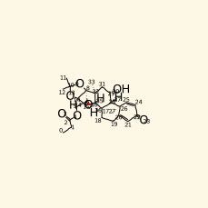 CCC(=O)OCC(=O)[C@@]12OC(C)(C)O[C@@H]1C[C@H]1[C@@H]3CCC4=CC(=O)C=C[C@]4(C)[C@H]3[C@@H](O)C[C@@]12C